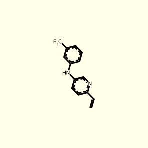 C=Cc1ccc(Nc2cccc(C(F)(F)F)c2)cn1